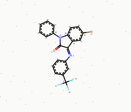 O=C1/C(=N\c2cccc(C(F)(F)F)c2)c2cc(Br)ccc2N1c1ccccc1